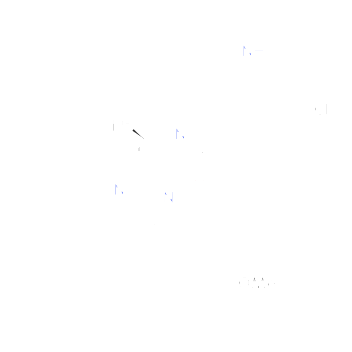 COc1cccc(-c2cn(Cc3ccccc3)c([C@@H](C(C)C)N(CCCN)C(=O)c3ccc(C(F)(F)F)cc3)n2)c1